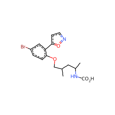 CC(COc1ccc(Br)cc1-c1ccno1)CC(C)NC(=O)O